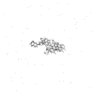 CC[C@H](C)C([C@@H](CC(=O)N1CCC[C@H]1[C@H](OC)[C@@H](C)C(=O)NCCc1ccc2cccnc2c1)OC)N(C)C(=O)[C@@H](NC(=O)[C@@H](NC)C(C)C)C(C)C